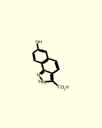 O=C(O)c1[nH]nc2c1ccc1cc(O)ccc12